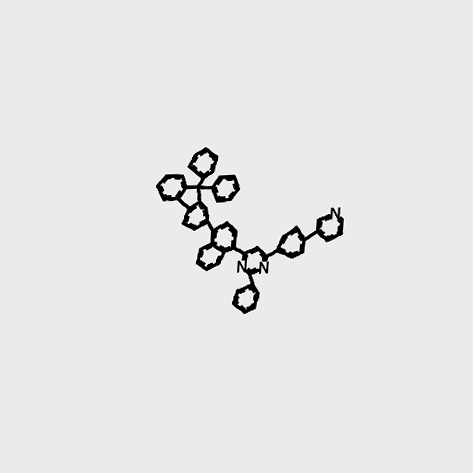 c1ccc(-c2nc(-c3ccc(-c4cccnc4)cc3)cc(-c3ccc(-c4ccc5c(c4)C(c4ccccc4)(c4ccccc4)c4ccccc4-5)c4ccccc34)n2)cc1